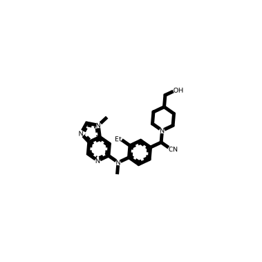 CCc1cc(C(C#N)N2CCC(CO)CC2)ccc1N(C)c1cc2c(cn1)ncn2C